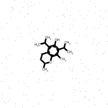 C[C]1CCc2c(c(C)c(C(C)C)c(O)c2C(C)C)O1